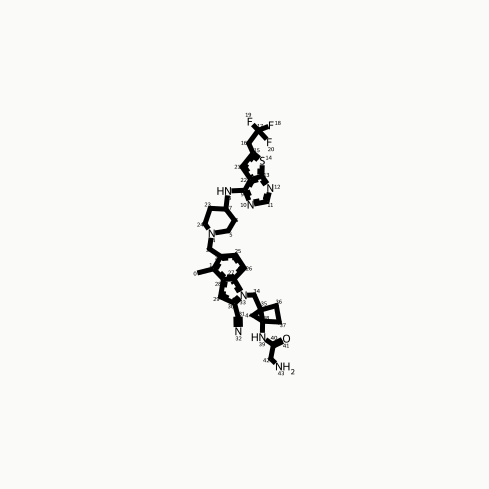 Cc1c(CN2CCC(Nc3ncnc4sc(CC(F)(F)F)cc34)CC2)ccc2c1cc(C#N)n2CC12CCC1(NC(=O)CN)C2